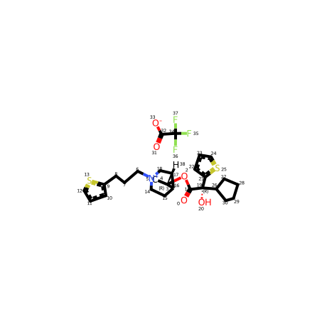 O=C(O[C@H]1C[N+]2(CCCc3cccs3)CCC1CC2)[C@@](O)(c1cccs1)C1CCCC1.O=C([O-])C(F)(F)F